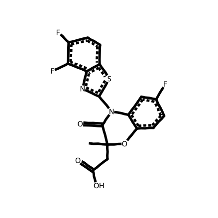 CC1(CC(=O)O)Oc2ccc(F)cc2N(c2nc3c(F)c(F)ccc3s2)C1=O